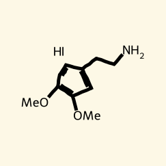 COc1ccc(CCN)cc1OC.I